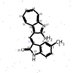 Cc1ccc2c(c1)/C(=C\c1c3cccccc-3nc1N)C(=O)N2